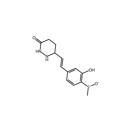 C[S+]([O-])c1ccc(/C=C/C2CCC(=O)NN2)cc1O